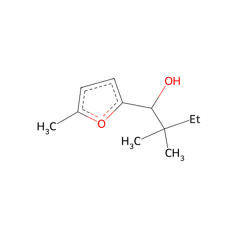 CCC(C)(C)C(O)c1ccc(C)o1